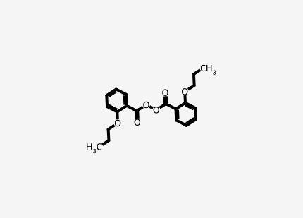 CCCOc1ccccc1C(=O)OOC(=O)c1ccccc1OCCC